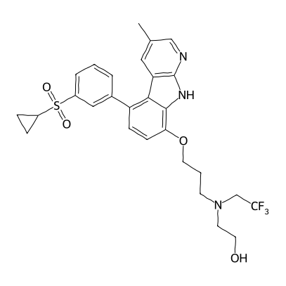 Cc1cnc2[nH]c3c(OCCCN(CCO)CC(F)(F)F)ccc(-c4cccc(S(=O)(=O)C5CC5)c4)c3c2c1